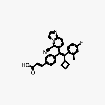 Cc1cc(F)ccc1C(=C(c1ccc(C=CC(=O)O)cc1)c1ccc2nccn2c1C#N)C1CCC1